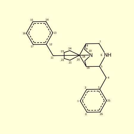 c1ccc(CC2NCC3CN(Cc4ccccc4)CC2C32CCCC2)cc1